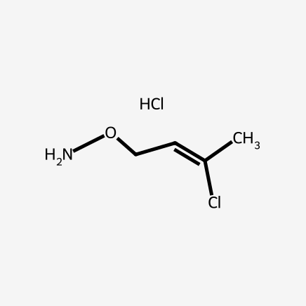 CC(Cl)=CCON.Cl